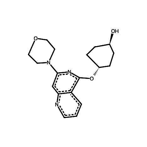 O[C@H]1CC[C@H](Oc2nc(N3CCOCC3)cc3ncccc23)CC1